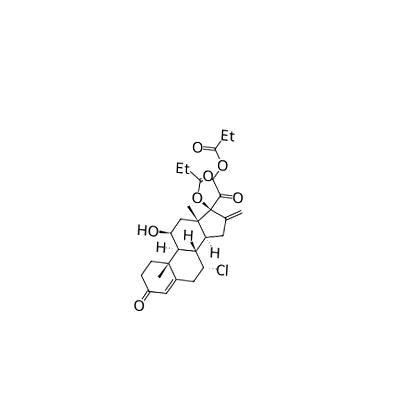 C=C1C[C@H]2[C@H]3[C@H]([C@@H](O)C[C@]2(C)[C@]1(OC(=O)CC)C(=O)COC(=O)CC)[C@@]1(C)CCC(=O)C=C1C[C@H]3Cl